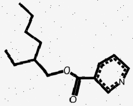 CCCCC(CC)COC(=O)c1cccnc1